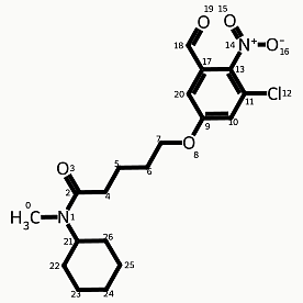 CN(C(=O)CCCCOc1cc(Cl)c([N+](=O)[O-])c(C=O)c1)C1CCCCC1